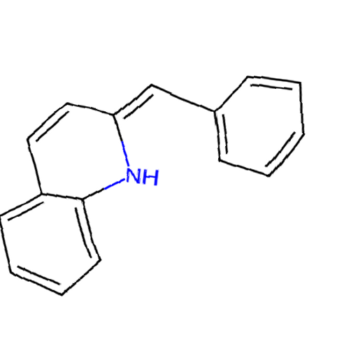 C1=Cc2ccccc2NC1=Cc1ccccc1